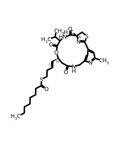 CCCCCCCC(=O)SCC/C=C/[C@@H]1CC(=O)NCc2cc(cc(C)n2)C2=N[C@@](C)(CS2)C(=O)NC(C(C)C)C(=O)O1